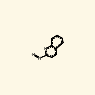 [N]=Nc1ccc2ccccc2n1